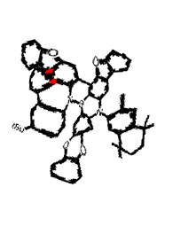 Cc1cc2c(cc1N1c3cc4c(cc3B3c5c1cc1c(oc6ccccc61)c5-c1cc5oc6ccccc6c5cc1N3c1ccc(C(C)(C)C)cc1-c1ccccc1)Oc1ccccc1O4)C(C)(C)CCC2(C)C